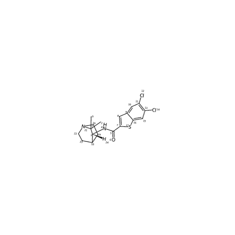 CC1(C)[C@H](NC(=O)c2cc3cc(Cl)c(Cl)cc3s2)C2CCN1CC2